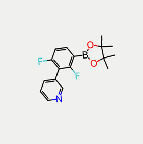 CC1(C)OB(c2ccc(F)c(-c3cccnc3)c2F)OC1(C)C